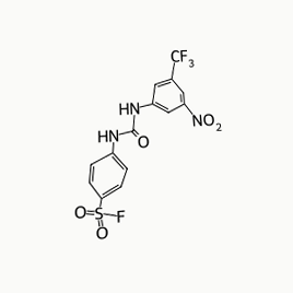 O=C(Nc1ccc(S(=O)(=O)F)cc1)Nc1cc([N+](=O)[O-])cc(C(F)(F)F)c1